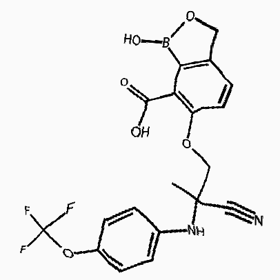 CC(C#N)(COc1ccc2c(c1C(=O)O)B(O)OC2)Nc1ccc(OC(F)(F)F)cc1